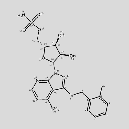 Cc1ccccc1CSc1nn([C@@H]2O[C@H](COS(N)(=O)=O)[C@@H](O)[C@H]2O)c2ncnc(N)c12